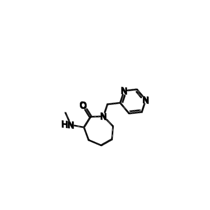 CNC1CCCCN(Cc2ccncn2)C1=O